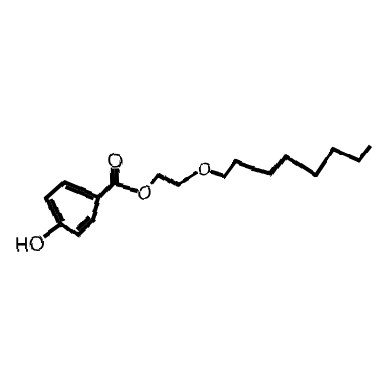 CCCCCCCCOCCOC(=O)c1ccc(O)cc1